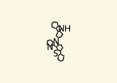 c1ccc2c(c1)[nH]c1ccc(-n3c4cccnc4c4c5sc6ccccc6c5ccc43)cc12